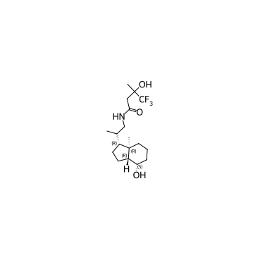 CC(CNC(=O)CC(C)(O)C(F)(F)F)[C@H]1CC[C@H]2[C@@H](O)CCC[C@]12C